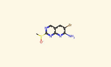 C[S+]([O-])c1ncc2cc(Br)c(N)nc2n1